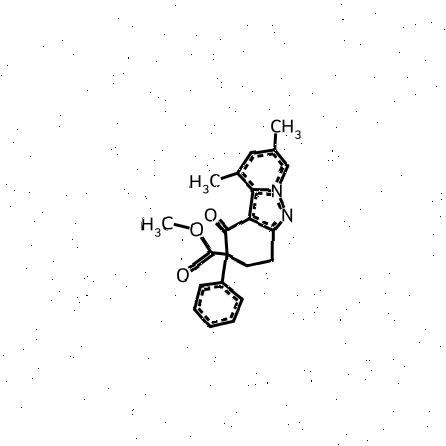 COC(=O)C1(c2ccccc2)CCc2nn3cc(C)cc(C)c3c2C1=O